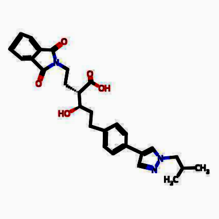 CC(C)Cn1cc(-c2ccc(CC[C@@H](O)[C@H](CCN3C(=O)c4ccccc4C3=O)C(=O)O)cc2)cn1